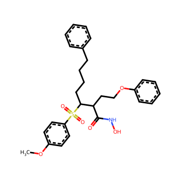 COc1ccc(S(=O)(=O)C(CCCCc2ccccc2)C(CCOc2ccccc2)C(=O)NO)cc1